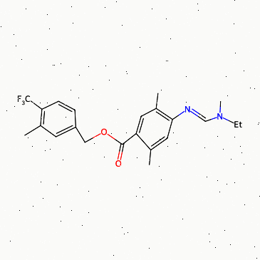 CCN(C)/C=N/c1cc(C)c(C(=O)OCc2ccc(C(F)(F)F)c(C)c2)cc1C